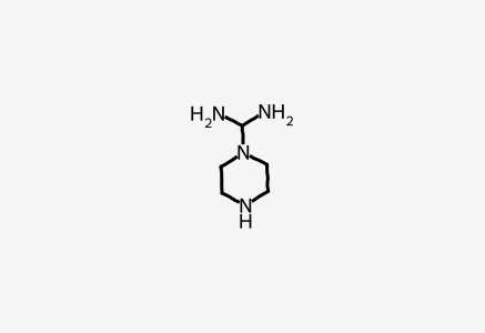 NC(N)N1CCNCC1